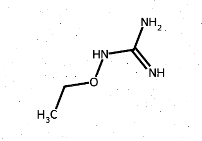 CCONC(=N)N